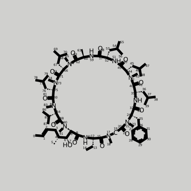 C/C=C/C[C@@H](C)[C@@H](O)[C@H]1C(=O)N[C@@H](CC)C(=O)N(C)CC(=O)N(C)[C@@H](Cc2ccccc2)C(=O)N[C@@H](CC(C)C)C(=O)N(C)[C@@H](CC(C)C)C(=O)N[C@@H](CC(C)C)C(=O)N[C@H](C)C(=O)N(C)[C@@H](CC(C)C)C(=O)N(C)[C@@H](CC(C)C)C(=O)N(C)[C@@H](C(C)C)C(=O)N1C